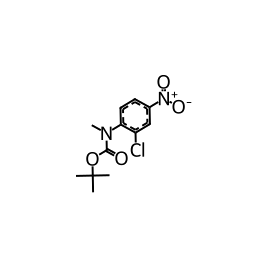 CN(C(=O)OC(C)(C)C)c1ccc([N+](=O)[O-])cc1Cl